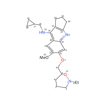 CCN1CCCC(COc2cc3nc4c(c(NCC5CC5)c3cc2OC)CCC4)O1